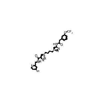 CCc1ccnc(CNC(=O)c2cn(CCCCn3cc(NC(=O)Cc4cccc(OC(F)(F)F)c4)nn3)nn2)c1